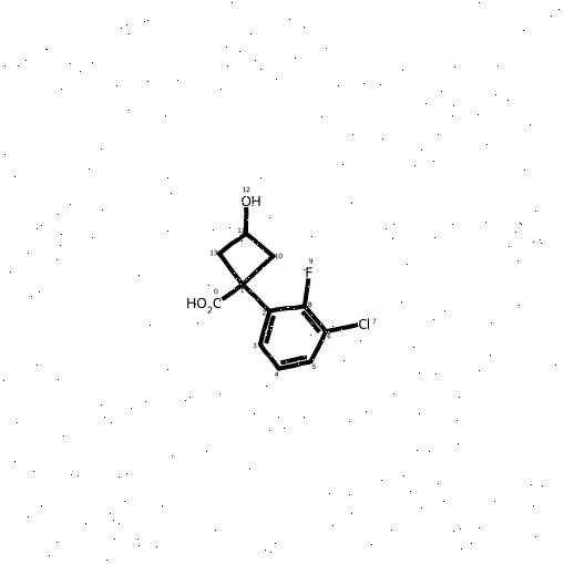 O=C(O)C1(c2cccc(Cl)c2F)CC(O)C1